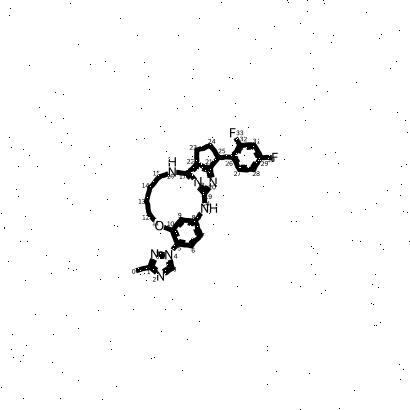 Cc1ncn(-c2ccc3cc2OCCCCNc2nc(nc4c2CCC4c2ccc(F)cc2F)N3)n1